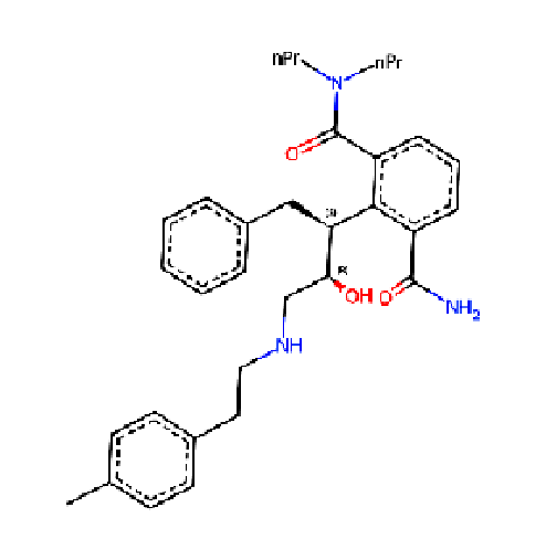 CCCN(CCC)C(=O)c1cccc(C(N)=O)c1[C@H](Cc1ccccc1)[C@@H](O)CNCCc1ccc(C)cc1